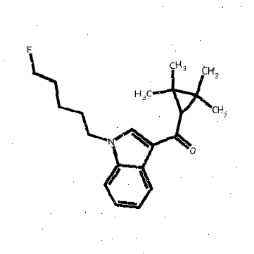 CC1(C)C(C(=O)c2cn(CCCCCF)c3ccccc23)C1(C)C